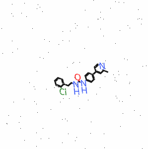 Cc1cc(-c2ccc(NC(=O)NCCc3ccccc3Cl)cc2)ccn1